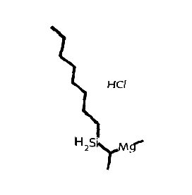 CCCCCCCC[SiH2][CH](C)[Mg][CH3].Cl